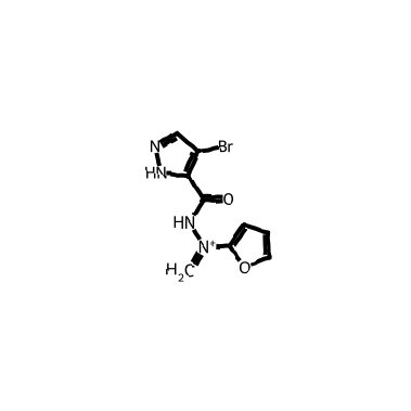 C=[N+](NC(=O)c1[nH]ncc1Br)c1ccco1